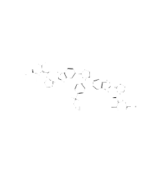 COC(=O)N[C@H](C(=O)N1CCC[C@H]1c1nc2cc(C3CC[C@H](c4ccc5nc([C@@H]6CCCN6C(=O)[C@@H](NC(=O)O)C(C)C)[nH]c5c4)N3c3ccc(C(C)(C)CN)cc3)ccc2[nH]1)C(C)C